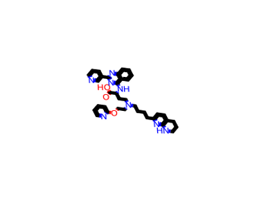 O=C(O)C(CCN(CCCCc1ccc2c(n1)NCCC2)CCOc1ccccn1)Nc1nc(-c2cccnc2)nc2ccccc12